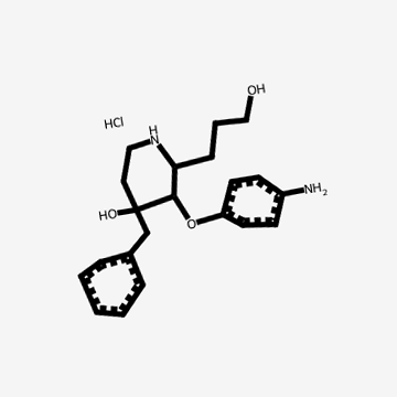 Cl.Nc1ccc(OC2C(CCCO)NCCC2(O)Cc2ccccc2)cc1